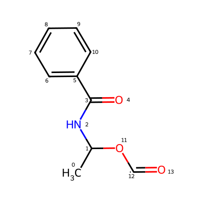 CC(NC(=O)c1ccccc1)O[C]=O